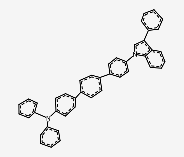 c1ccc(-c2cn(-c3ccc(-c4ccc(-c5ccc(N(c6ccccc6)c6ccccc6)cc5)cc4)cc3)c3ccccc23)cc1